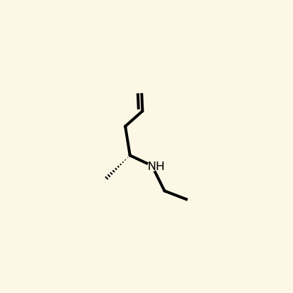 C=CC[C@@H](C)NCC